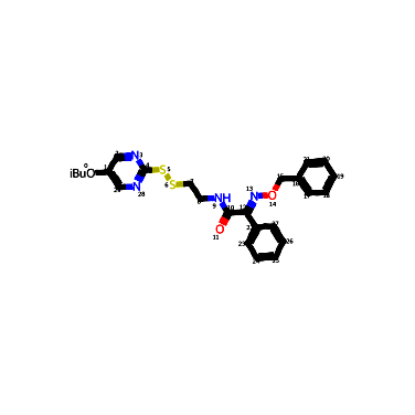 CC(C)COc1cnc(SSCCNC(=O)C(=NOCc2ccccc2)c2ccccc2)nc1